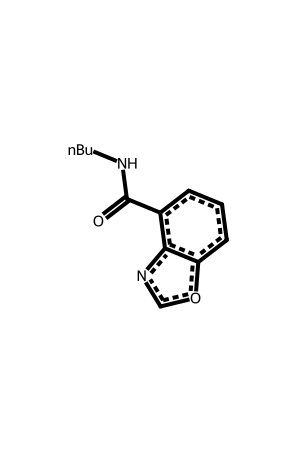 CCCCNC(=O)c1cccc2ocnc12